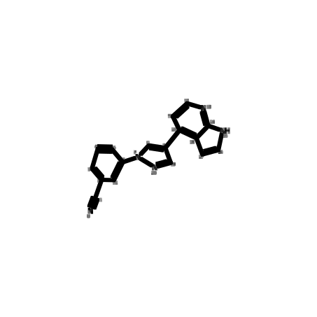 N#Cc1cc#cc(-n2cc(-c3ccnc4[nH]ccc34)cn2)c1